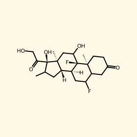 CC1C[C@H]2[C@@H]3CC(F)C4CC(=O)CC[C@]4(C)[C@@]3(F)C(O)C[C@]2(C)[C@@]1(O)C(=O)CO